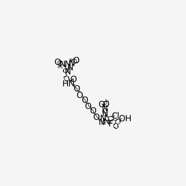 C[C@@H]1COCCN1c1nc(N2CCOC[C@H]2C)c2ccc(-c3cccc(C(=O)NCCOCCOCCOCCOCCOCCOCCN(C)c4nc(N5CCN(C(=O)OC(C)(C)C)CC5)c5cc(Cl)c(-c6cc(O)cc7ccccc67)c(F)c5n4)c3)nc2n1